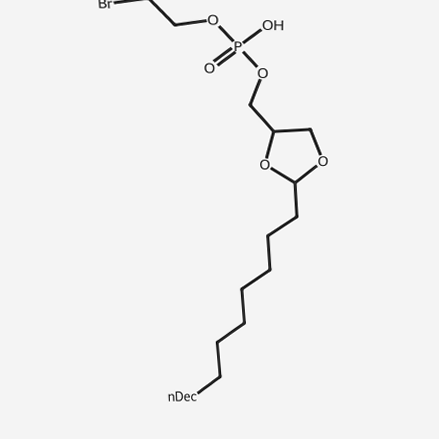 CCCCCCCCCCCCCCCCCC1OCC(COP(=O)(O)OCCBr)O1